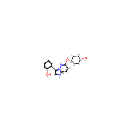 Oc1ccccc1-c1cnc2ccc(O[C@H]3CC[C@H](O)CC3)nn12